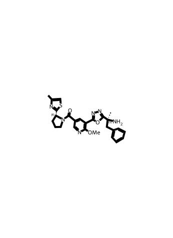 COc1ncc(C(=O)N2CCC[C@@H]2c2nc(C)cs2)cc1-c1nnc([C@@](C)(N)Cc2ccccc2)o1